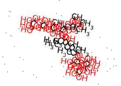 CC(=O)OC1C(C)OC(OC2(C)CC(O)C(OC3OC(C)C(OC4OCC(O)C(OC5OC(CO)C(O)C(O)C5O)C4O)C(O)C3O)C(OC(=O)[C@]34CCC(C)(C)CC3C3=CCC5[C@@]6(C)CC[C@H](OC7OC(C(=O)O)C(O)C(OC8OCC(O)C(O)C8O)C7OC7OC(CO)C(O)C(O)C7O)[C@@](C)(C=O)C6CC[C@@]5(C)C3(C)CC4O)O2)C(O)C1OC(C)=O